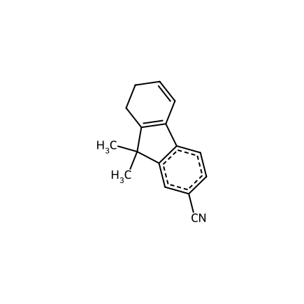 CC1(C)C2=C(C=CCC2)c2ccc(C#N)cc21